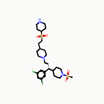 CS(=O)(=O)N1CCC([C@@H](CCN2CCC(CCS(=O)(=O)C3CCNCC3)CC2)c2cc(F)cc(F)c2)CC1